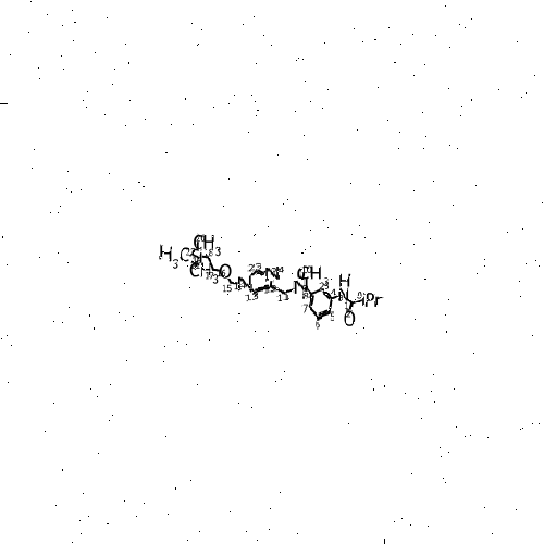 CC(C)C(=O)Nc1cccc(N(C)Cc2cn(COCC[Si](C)(C)C)cn2)c1